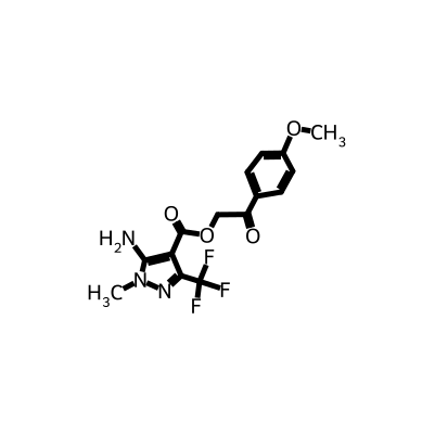 COc1ccc(C(=O)COC(=O)c2c(C(F)(F)F)nn(C)c2N)cc1